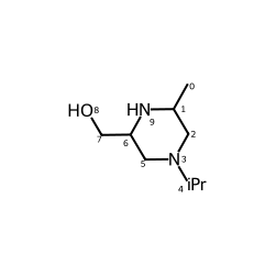 CC1CN(C(C)C)CC(CO)N1